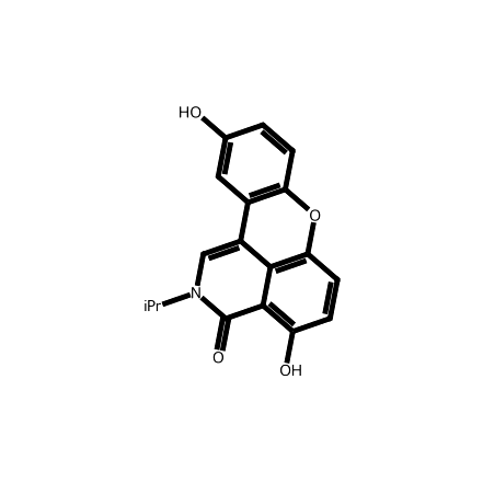 CC(C)n1cc2c3c(ccc(O)c3c1=O)Oc1ccc(O)cc1-2